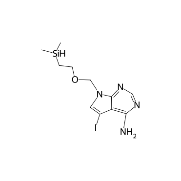 C[SiH](C)CCOCn1cc(I)c2c(N)ncnc21